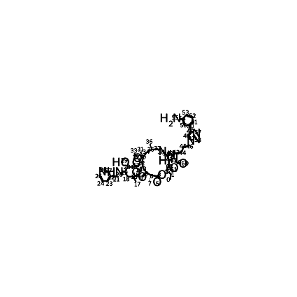 CC[C@H]1OC(=O)[C@H](C)C(=O)[C@H](C)[C@@H](O[C@@H]2OC(C)CC(NCc3cccnc3)C2O)[C@](C)(OC)C[C@@H](C)CN[C@H](C)[C@H]2N(CCCCn3cc(-c4cccc(N)c4)nn3)C(=O)O[C@]12C